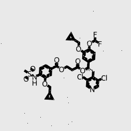 CS(=O)(=O)Nc1ccc(C(=O)OCCC(=O)O[C@@H](Cc2c(Cl)cncc2Cl)c2ccc(OC(F)F)c(OCC3CC3)c2)cc1OCC1CC1